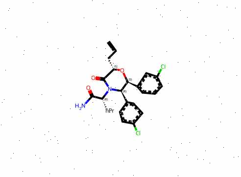 C=CC[C@@H]1O[C@@H](c2cccc(Cl)c2)[C@@H](c2ccc(Cl)cc2)N([C@H](CCC)C(N)=O)C1=O